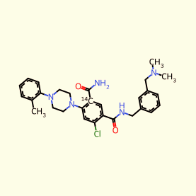 Cc1ccccc1N1CCN(c2cc(Cl)c(C(=O)NCc3cccc(CN(C)C)c3)c[14c]2C(N)=O)CC1